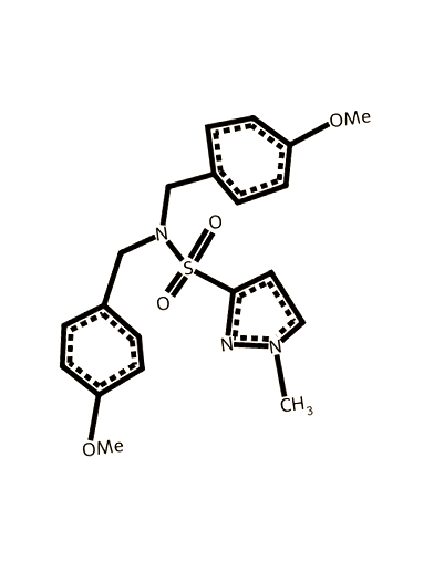 COc1ccc(CN(Cc2ccc(OC)cc2)S(=O)(=O)c2ccn(C)n2)cc1